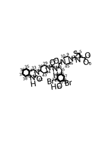 COC(=O)c1csc(N2CCN(C(=O)[C@@H](Cc3cc(Br)c(O)c(Br)c3)NC(=O)N3CCC(N4Cc5ccccc5NC4=O)CC3)CC2)n1